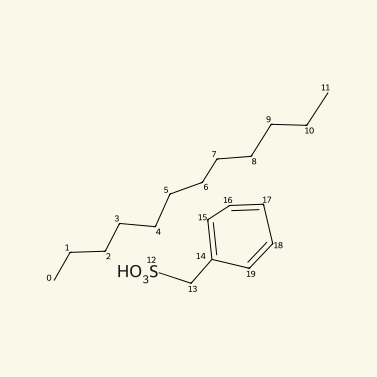 CCCCCCCCCCCC.O=S(=O)(O)Cc1ccccc1